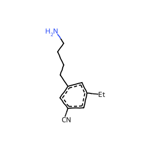 CCc1cc(C#N)cc(CCCCN)c1